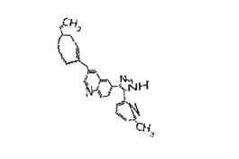 C=CC1CC=C(c2cnc3ccc(-c4nc[nH]c4-c4cccc(C)n4)cc3c2)CC1